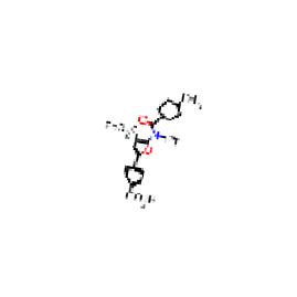 CCOC(=O)c1cc(-c2ccc(C(=O)O)cc2)oc1N(C(=O)C1CCC(C)CC1)C(C)C